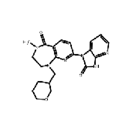 CN1CCN(CC2CCCOC2)c2nc(-n3c(=O)[nH]c4ncccc43)ccc2C1=O